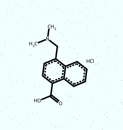 CN(C)Cc1ccc(C(=O)O)c2ccccc12.Cl